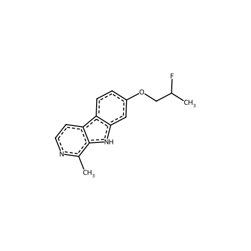 Cc1nccc2c1[nH]c1cc(OCC(C)F)ccc12